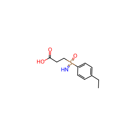 CCc1ccc(S(=N)(=O)CCC(=O)O)cc1